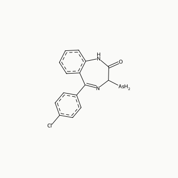 O=C1Nc2ccccc2C(c2ccc(Cl)cc2)=NC1[AsH2]